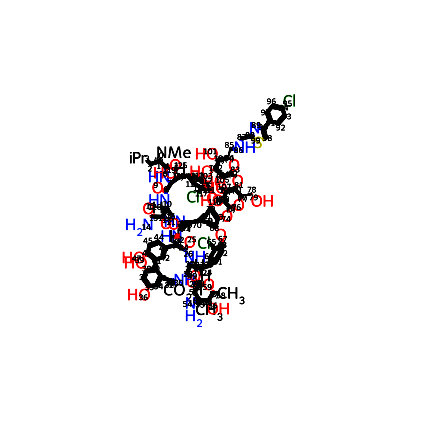 CN[C@H](CC(C)C)C(=O)NC1C(=O)N[C@@H](CC(N)=O)C(=O)N[C@H]2C(=O)N[C@H]3C(=O)N[C@H](C(=O)N[C@@H](C(=O)O)c4cc(O)cc(O)c4-c4cc3ccc4O)[C@H](O[C@H]3C[C@](C)(N)[C@@H](O)[C@H](C)O3)c3ccc(c(Cl)c3)Oc3cc2cc(c3O[C@@H]2O[C@H](CO)[C@@H](O[C@@H]3O[C@H](CNCc4nc(-c5ccc(Cl)cc5)cs4)[C@H](O)[C@H](O)[C@H]3O)[C@H](O)[C@H]2O)Oc2ccc(cc2Cl)[C@H]1O